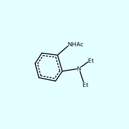 CCN(CC)c1ccccc1NC(C)=O